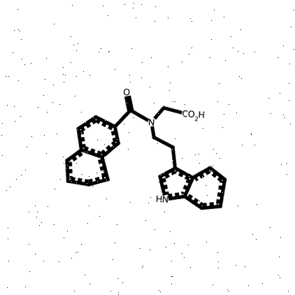 O=C(O)CN(CCc1c[nH]c2ccccc12)C(=O)c1ccc2ccccc2c1